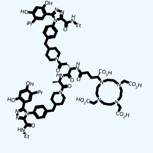 CCNC(=O)c1nnc(-c2cc(C(C)C)c(O)cc2O)n1-c1ccc(CC2CCN(C(=O)C[C@H](NC(=O)CC[C@H](C(=O)O)N3CCN(CC(=O)O)CCN(CC(=O)O)CCN(CC(=O)O)CC3)C(=O)N[C@H](C)C(=O)N3CCC(Cc4ccc(-n5c(C(=O)NCC)nnc5-c5cc(C(C)C)c(O)cc5O)cc4)CC3)CC2)cc1